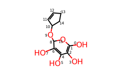 OC1=C(O)C(O)=C(O)C(OC2C=C[CH]C2)O1